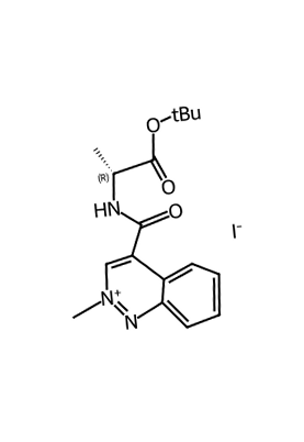 C[C@@H](NC(=O)c1c[n+](C)nc2ccccc12)C(=O)OC(C)(C)C.[I-]